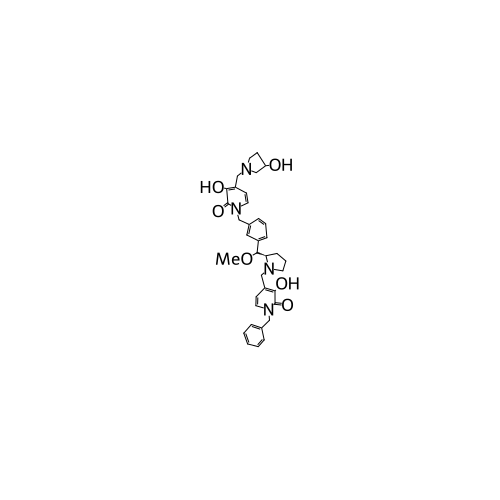 COC(c1cccc(Cn2ccc(CN3CCC(O)C3)c(O)c2=O)c1)[C@H]1CCCN1Cc1ccn(Cc2ccccc2)c(=O)c1O